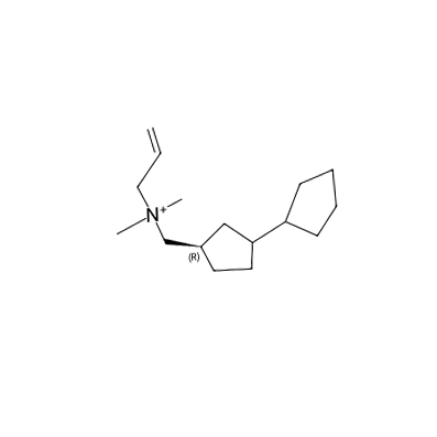 C=CC[N+](C)(C)C[C@@H]1CCC(C2CCCC2)C1